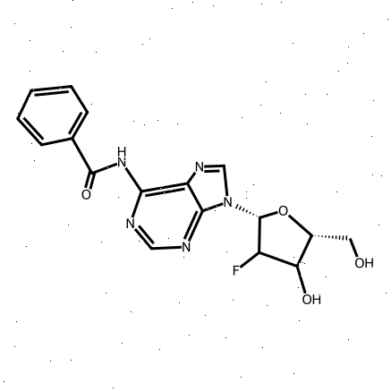 O=C(Nc1ncnc2c1ncn2[C@@H]1O[C@H](CO)C(O)C1F)c1ccccc1